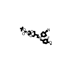 COc1ccc(CN(CCC2COC3(CN(C(=O)OC(C)(C)C)C3)OC2)c2ccc(C#N)cc2)cc1F